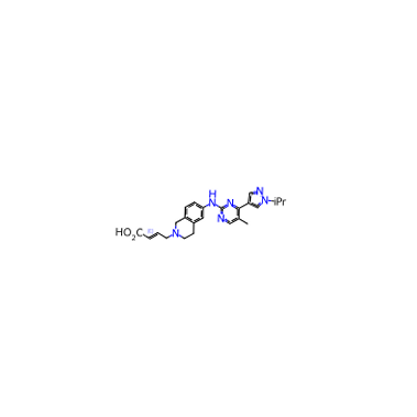 Cc1cnc(Nc2ccc3c(c2)CCN(C/C=C/C(=O)O)C3)nc1-c1cnn(C(C)C)c1